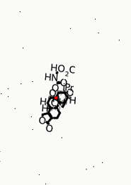 CC(C)[C@]12O[C@H]1[C@@H]1C[C@]13[C@]1(O[C@H]1C[C@H]1C4=C(CC[C@@]13C)C(=O)OC4)[C@@H]2OC(=O)NCC(=O)O